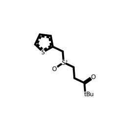 CC(C)(C)C(=O)CC[S+]([O-])Cc1cccs1